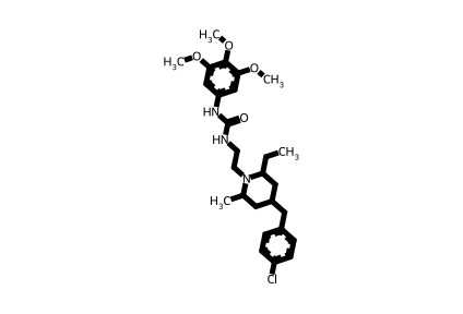 CCC1CC(Cc2ccc(Cl)cc2)CC(C)N1CCNC(=O)Nc1cc(OC)c(OC)c(OC)c1